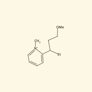 CCC(CCOC)c1cccc[n+]1C